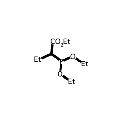 CCOC(=O)C(CC)P(OCC)OCC